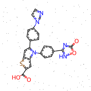 O=C(O)c1cc2c(cc(-c3ccc(-n4ccnc4)cc3)n2-c2ccc(-c3nc(=O)o[nH]3)cc2)s1